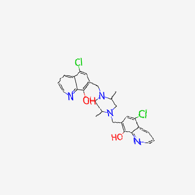 CC1CN(Cc2cc(Cl)c3cccnc3c2O)C(C)CN1Cc1cc(Cl)c2cccnc2c1O